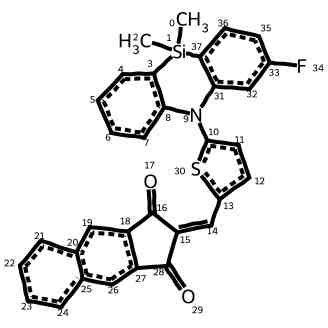 C[Si]1(C)c2ccccc2N(c2ccc(C=C3C(=O)c4cc5ccccc5cc4C3=O)s2)c2cc(F)ccc21